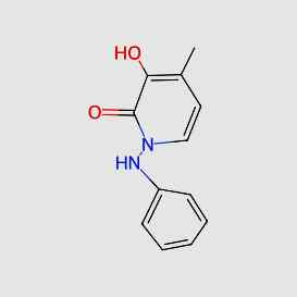 Cc1ccn(Nc2ccccc2)c(=O)c1O